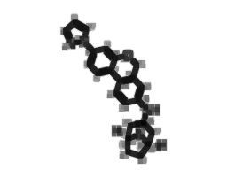 c1cnn(-c2ccc3c(c2)OCc2cc(N[C@H]4C[C@H]5CC[C@@H](C4)N5)ccc2-3)c1